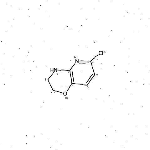 Clc1ccc2c(n1)NCCO2